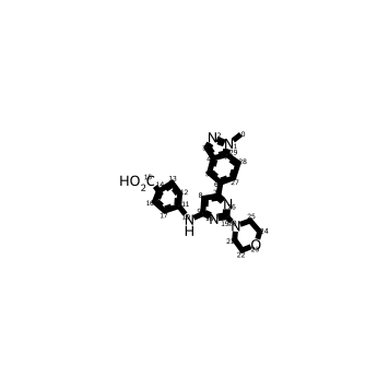 Cn1ncc2cc(-c3cc(Nc4ccc(C(=O)O)cc4)nc(N4CCOCC4)n3)ccc21